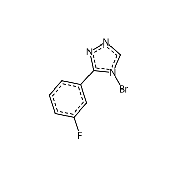 Fc1cccc(-c2nncn2Br)c1